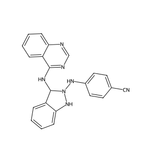 N#Cc1ccc(NN2Nc3ccccc3C2Nc2ncnc3ccccc23)cc1